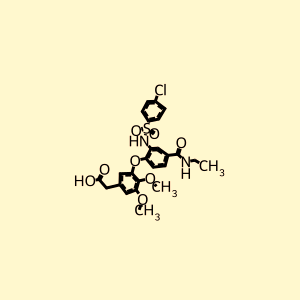 CCNC(=O)c1ccc(Oc2cc(CC(=O)O)cc(OC)c2OC)c(NS(=O)(=O)c2ccc(Cl)cc2)c1